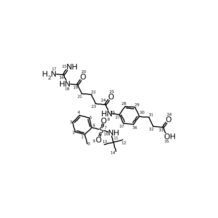 Cc1ccccc1S(=O)(=O)NC(C)(C)C.N=C(N)NC(=O)CCCC(=O)Nc1ccc(CCC(=O)O)cc1